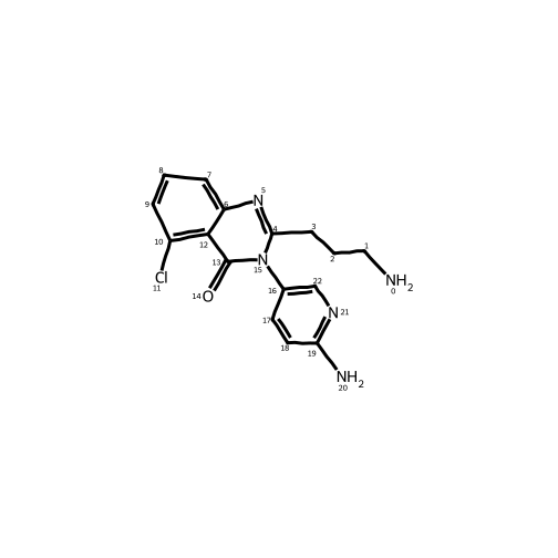 NCCCc1nc2cccc(Cl)c2c(=O)n1-c1ccc(N)nc1